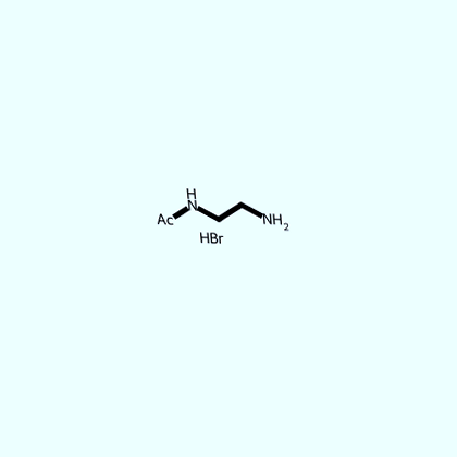 Br.CC(=O)NCCN